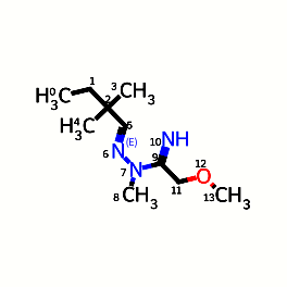 CCC(C)(C)/C=N/N(C)C(=N)COC